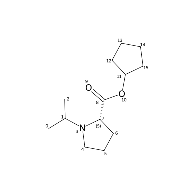 CC(C)N1CCC[C@H]1C(=O)OC1CCCC1